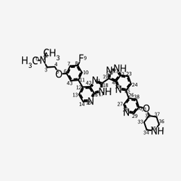 CN(C)CCOc1cc(F)cc(-c2ccnc3[nH]c(-c4n[nH]c5ccc(-c6cncc(OC7CCNCC7)c6)nc45)nc23)c1